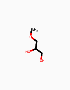 OCC(O)C[O][SbH2]